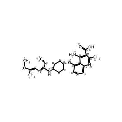 C=N/C(=N\C=C(/C)OC)N[C@H]1CC[C@H](Oc2cccc3nc(C)c(C(=O)O)c(N)c23)CC1